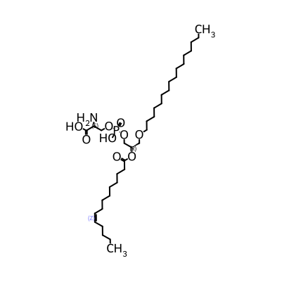 CCCC/C=C\CCCCCCCC(=O)O[C@H](COCCCCCCCCCCCCCCCC)COP(=O)(O)OC[C@H](N)C(=O)O